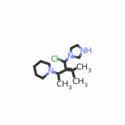 CC(C)=C(C(C)N1CCCCC1)C(Cl)N1CCNC1